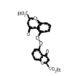 CCOC(=O)c1cc(=O)c2c(OOc3cccc4oc(C(=O)OCC)cc(=O)c34)cccc2o1